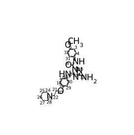 COc1ccc(NC(=O)n2nc(N)nc2Nc2ccc(OCCN3CCCCC3)cc2)cc1